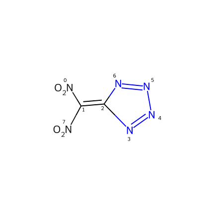 O=[N+]([O-])C(=C1N=NN=N1)[N+](=O)[O-]